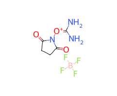 F[B-](F)(F)F.NC(N)=[O+]N1C(=O)CCC1=O